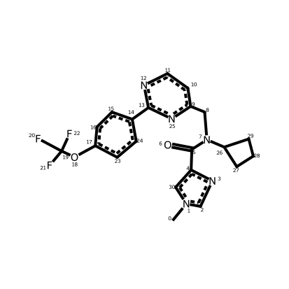 Cn1cnc(C(=O)N(Cc2ccnc(-c3ccc(OC(F)(F)F)cc3)n2)C2CCC2)c1